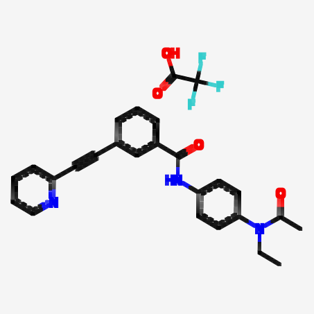 CCN(C(C)=O)c1ccc(NC(=O)c2cccc(C#Cc3ccccn3)c2)cc1.O=C(O)C(F)(F)F